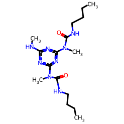 CCCCNC(=O)N(C)c1nc(NC)nc(N(C)C(=O)NCCCC)n1